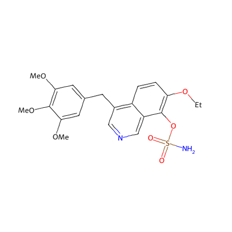 CCOc1ccc2c(Cc3cc(OC)c(OC)c(OC)c3)cncc2c1OS(N)(=O)=O